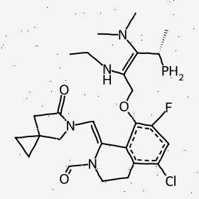 CCN/C(COc1c(F)cc(Cl)c2c1/C(=C/N1CC3(CC3)CC1=O)N(C=O)CC2)=C(/[C@H](C)P)N(C)C